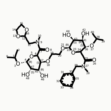 CC(C)O[C@@H]1OC(C(=O)N(C)CC2OCCO2)[C@@H](OCCO[C@@H]2OC(C(=O)N(C)Cc3ccccc3)[C@@H](OC(C)C)[C@H](O)[C@@H]2O)[C@H](O)[C@@H]1O